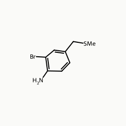 CSCc1ccc(N)c(Br)c1